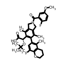 COc1ccc(F)c(C(=O)N2Cc3c(C)c(-c4cc(F)c5c(c4C)CCCO5)c([C@H](OC(C)(C)C)C(=O)O)c(C)c3C2)c1